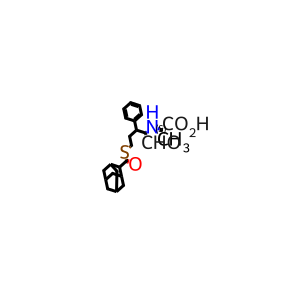 C[C@H](NC(C=O)C(CCSC(=O)C1C2CC3CC(C2)CC1C3)c1ccccc1)C(=O)O